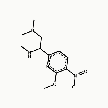 CNC(CN(C)C)c1ccc([N+](=O)[O-])c(OC)n1